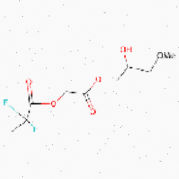 COCC(O)COC(=O)COC(=O)C(C)(F)F